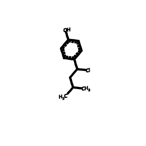 CC(C)CC(Cl)c1ccc(O)cc1